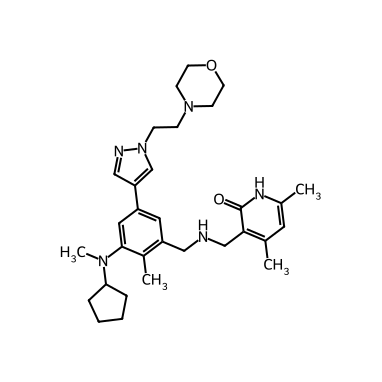 Cc1cc(C)c(CNCc2cc(-c3cnn(CCN4CCOCC4)c3)cc(N(C)C3CCCC3)c2C)c(=O)[nH]1